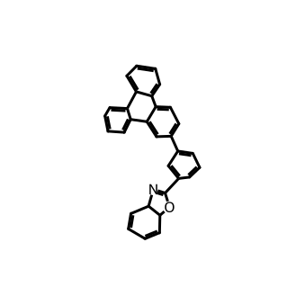 C1=CC2N=C(c3cccc(-c4ccc5c6ccccc6c6ccccc6c5c4)c3)OC2C=C1